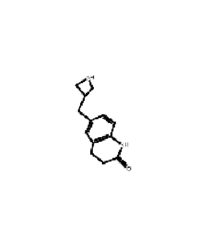 O=C1CCc2cc(CC3CNC3)ccc2N1